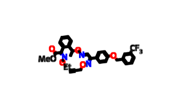 C#CCON=C(C=NOC(C)c1ccccc1C(=NOCC)C(=O)OC)c1ccc(OCc2cccc(C(F)(F)F)c2)cc1